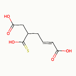 O=C(O)C=CCC(CC(=O)O)C(O)=S